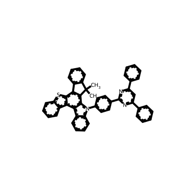 CC1(C)c2ccccc2-c2c1c1c(c3ccccc3n1-c1ccc(-c3nc(-c4ccccc4)cc(-c4ccccc4)n3)cc1)c1c2sc2ccccc21